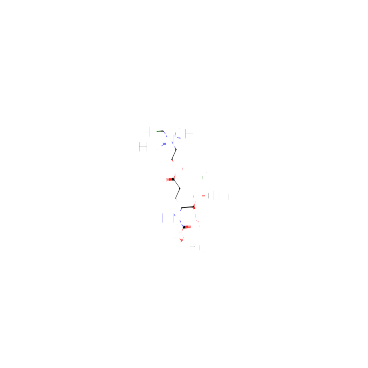 CC(C)(C)OC(=O)N[C@@H](CCC(=O)OCC[N+](C)(C)CF)C(=O)OC(C)(C)C.[Cl-]